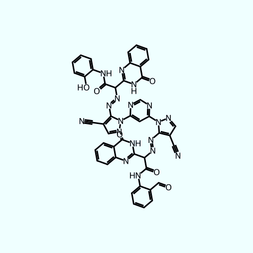 N#Cc1cnn(-c2cc(-n3ncc(C#N)c3N=NC(C(=O)Nc3ccccc3C=O)c3nc4ccccc4c(=O)[nH]3)ncn2)c1N=NC(C(=O)Nc1ccccc1O)c1nc2ccccc2c(=O)[nH]1